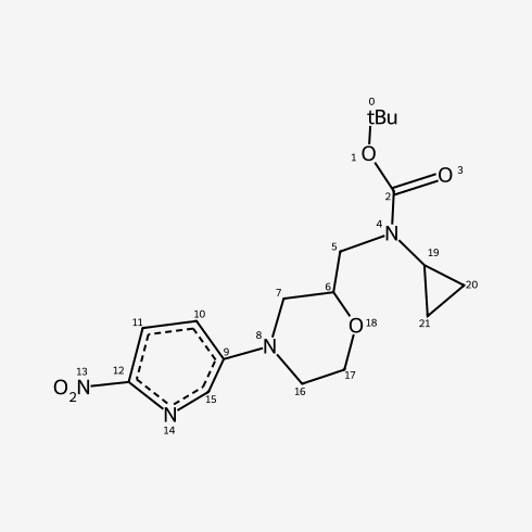 CC(C)(C)OC(=O)N(CC1CN(c2ccc([N+](=O)[O-])nc2)CCO1)C1CC1